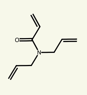 C=CCN(CC=C)C(=O)C=C